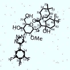 CO[C@@H]1[C@@H](n2cc(-c3cc(F)c(F)c(F)c3)nn2)[C@@H](O)[C@@H](CO)O[C@H]1SC(C(=O)N1CCC(C)(C)CC1)C1(O)CCC(F)(F)CC1